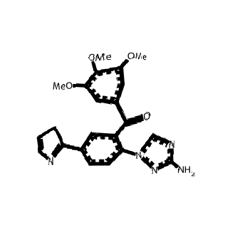 COc1cc(C(=O)c2cc(C3=NC=CC3)ccc2-n2cnc(N)n2)cc(OC)c1OC